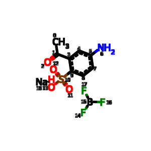 CC(=O)c1cc(N)ccc1S(=O)(=O)O.FB(F)F.[Na]